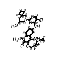 Cn1c(=O)c2c(c3cc(Nc4nc(N5CC(O)CC6(CCC6)C5)ncc4Cl)ccc31)N[C@@H](C1CC1)C(F)(F)CO2